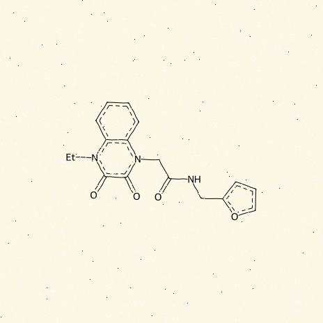 CCn1c(=O)c(=O)n(CC(=O)NCc2ccco2)c2ccccc21